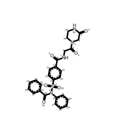 O=C1CN(C(=O)CNC(=O)c2ccc(S(=O)(=O)N(C(=O)c3ccccc3)c3ccccc3)cc2)CCN1